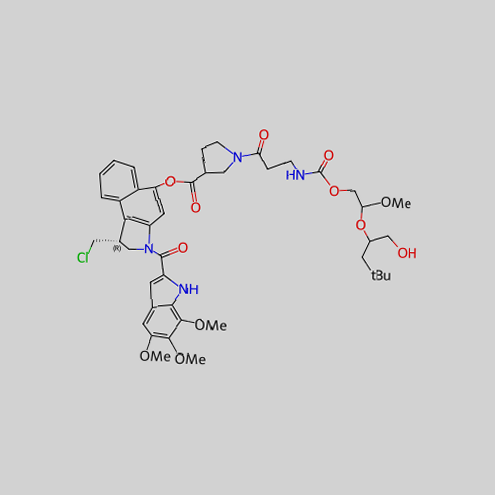 COc1cc2cc(C(=O)N3C[C@H](CCl)c4c3cc(OC(=O)C3CCN(C(=O)CCNC(=O)OCC(OC)OC(CO)CC(C)(C)C)C3)c3ccccc43)[nH]c2c(OC)c1OC